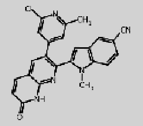 Cc1cc(-c2cc3ccc(=O)[nH]c3nc2-c2cc3cc(C#N)ccc3n2C)cc(Cl)n1